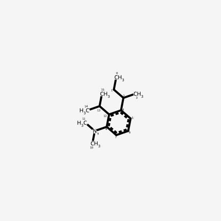 CCC(C)c1cccc(N(C)C)c1C(C)C